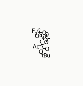 CC(=O)C(C)(CN(S(C)(=O)=O)S(=O)(=O)C(F)(F)F)C(=O)OC(C)(C)C